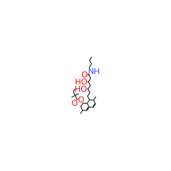 CCCCNC(=O)CC(O)CC(O)CCC1C(C)C=CC2=CC(C)CC(OC(=O)C(C)(C)CC)C21